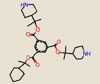 CC(C)(OC(=O)c1cc(C(=O)OC(C)(C)C2CCNCC2)cc(C(=O)OC(C)(C)C2CCNCC2)c1)C1CCCCC1